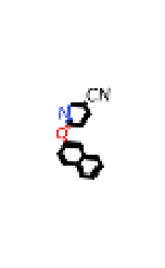 N#Cc1ccc(Oc2ccc3ccccc3c2)nc1